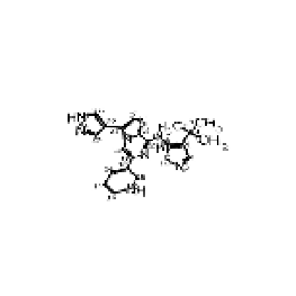 CC(C)(C)c1cnsc1Nc1nc(C2=CCCNC2)cn2c(-c3cn[nH]c3)cnc12